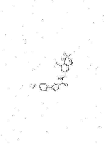 CS(=O)(=O)Nc1c(F)cc(CNC(=O)c2ccc(-c3ccc(C(F)(F)F)cc3)s2)cc1F